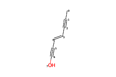 CC#CC=CC#CO